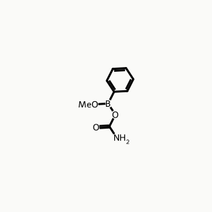 COB(OC(N)=O)c1ccccc1